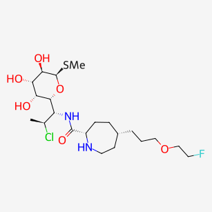 CS[C@H]1O[C@H]([C@H](NC(=O)[C@@H]2CC[C@H](CCCOCCF)CCN2)[C@H](C)Cl)[C@H](O)[C@H](O)[C@H]1O